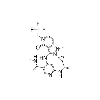 C=C(NC)c1cnc(NC(=C)C2CC2)cc1Nc1nn(C)c2ccn(CC(F)(F)F)c(=O)c12